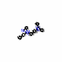 N#Cc1ccccc1-c1nc(-c2ccc(-c3ccccc3)cc2)nc(-c2cccc(-c3ccc(-c4nc(-c5ccccc5)nc(-c5ccccc5)n4)cc3)c2)n1